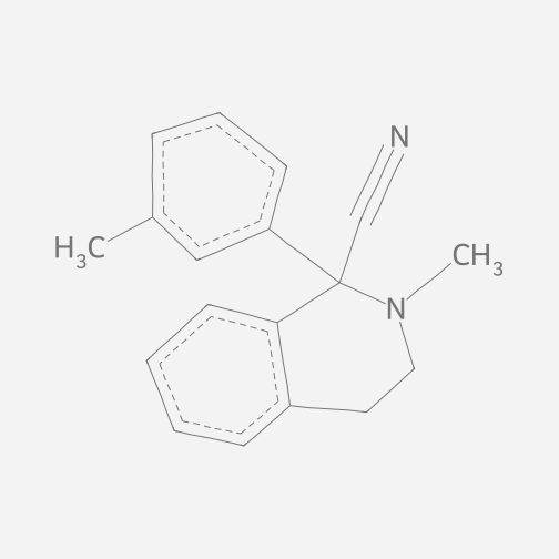 Cc1cccc(C2(C#N)c3ccccc3CCN2C)c1